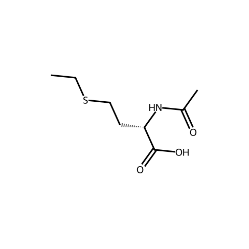 CCSCC[C@H](NC(C)=O)C(=O)O